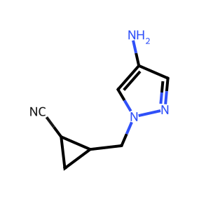 N#CC1CC1Cn1cc(N)cn1